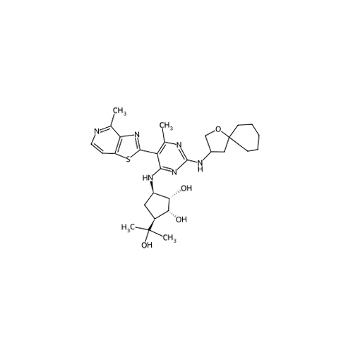 Cc1nc(NC2COC3(CCCCC3)C2)nc(N[C@@H]2C[C@H](C(C)(C)O)[C@@H](O)[C@H]2O)c1-c1nc2c(C)nccc2s1